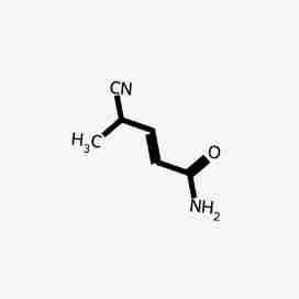 CC(C#N)/C=C/C(N)=O